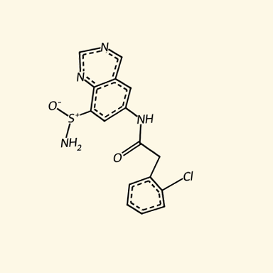 N[S+]([O-])c1cc(NC(=O)Cc2ccccc2Cl)cc2cncnc12